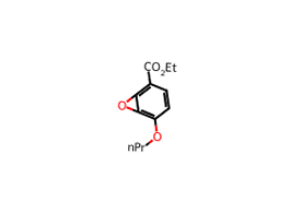 CCCOc1ccc(C(=O)OCC)c2c1O2